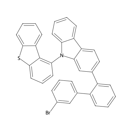 Brc1cccc(-c2ccccc2-c2ccc3c4ccccc4n(-c4cccc5sc6ccccc6c45)c3c2)c1